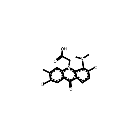 Cc1cc2c(cc1Cl)c(=O)c1ccc(Cl)c(N(C)C)c1n2CC(=O)O